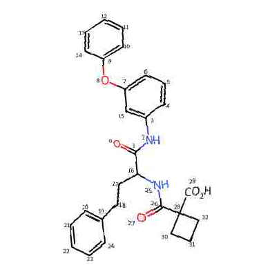 O=C(Nc1cccc(Oc2ccccc2)c1)C(CCc1ccccc1)NC(=O)C1(C(=O)O)CCC1